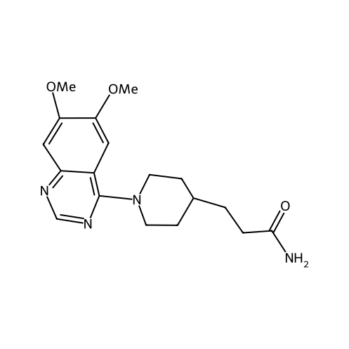 COc1cc2ncnc(N3CCC(CCC(N)=O)CC3)c2cc1OC